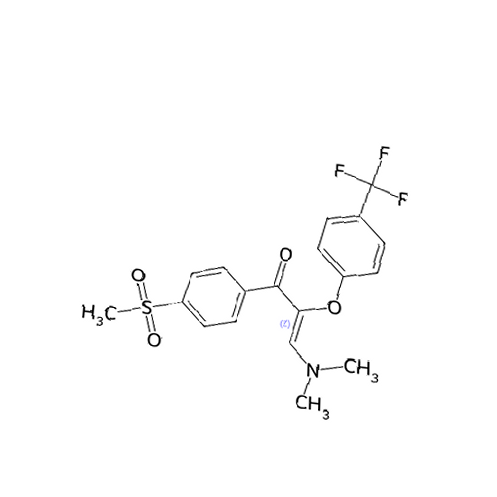 CN(C)/C=C(\Oc1ccc(C(F)(F)F)cc1)C(=O)c1ccc(S(C)(=O)=O)cc1